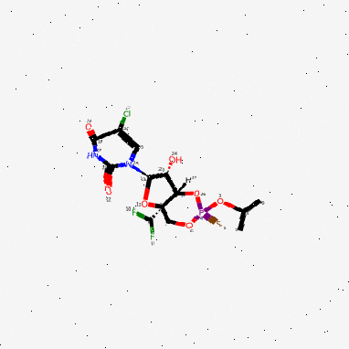 CC(C)OP1(=S)OC[C@@]2(C(F)F)O[C@@H](n3cc(Cl)c(=O)[nH]c3=O)[C@H](O)[C@@H]2O1